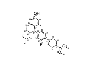 COC(OC)C1CCN(c2ccc(C3c4ccc(O)cc4CCC3CC(C)C)cc2F)CC1